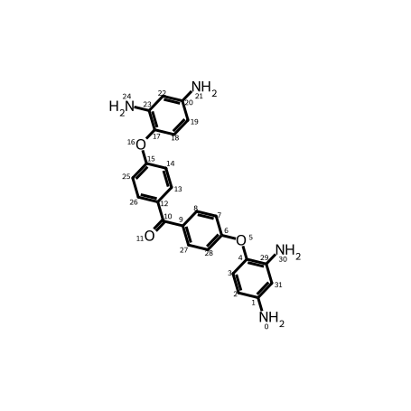 Nc1ccc(Oc2ccc(C(=O)c3ccc(Oc4ccc(N)cc4N)cc3)cc2)c(N)c1